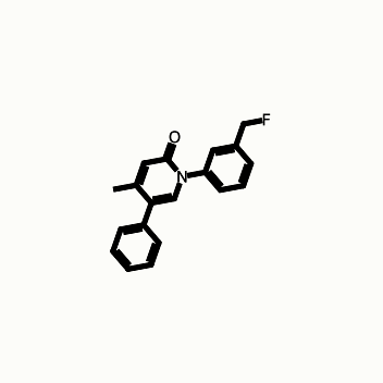 Cc1cc(=O)n(-c2cccc(CF)c2)cc1-c1ccccc1